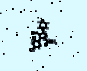 N#CC1C(c2ccc(Cl)cc2Cl)=C(C(N)=O)SC1N1CCOCC1